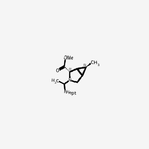 CCCCCCCC(C)N1CC2C([C@H]2C)[C@H]1C(=O)OC